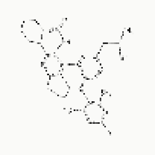 Cc1cc(F)cc(C)c1Oc1ccc(CC(C)O)cc1-c1c2c(nc(C3CCCCC3)c1N[SH](=O)=O)CCCC2